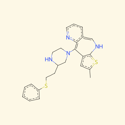 Cc1cc2c(s1)NC=c1cccnc1=C2N1CCNC(CCSc2ccccc2)C1